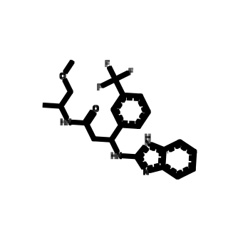 COCC(C)NC(=O)CC(Nc1nc2ccccc2[nH]1)c1cccc(C(F)(F)F)c1